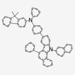 CC1(C)c2ccccc2-c2ccc(N(c3ccccc3)c3ccc(-c4ccc5c(c4)c4c(-c6ccccc6)cc6ccccc6c4n5-c4ccc5ccccc5c4)cc3)cc21